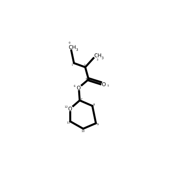 CCC(C)C(=O)OC1CCCCO1